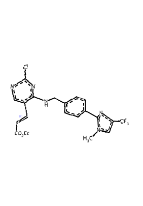 CCOC(=O)/C=C/c1cnc(Cl)nc1NCc1ccc(-c2nc(C(F)(F)F)cn2C)cc1